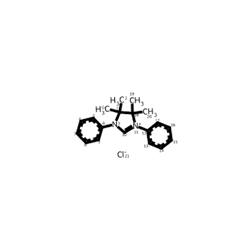 CC1(C)N(c2ccccc2)C=[N+](c2ccccc2)C1(C)C.[Cl-]